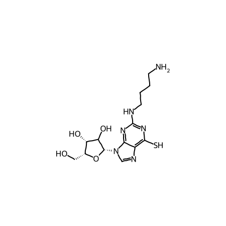 NCCCCNc1nc(S)c2ncn([C@@H]3O[C@H](CO)[C@H](O)C3O)c2n1